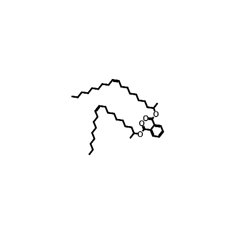 CCCCCCCC/C=C\CCCCCCCC(C)OC(=O)c1ccccc1C(=O)OC(C)CCCCCCC/C=C\CCCCCCCC